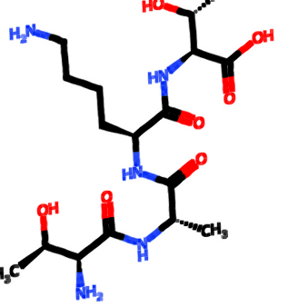 C[C@H](NC(=O)[C@@H](N)[C@@H](C)O)C(=O)N[C@@H](CCCCN)C(=O)N[C@H](C(=O)O)[C@@H](C)O